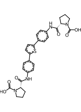 O=C(Nc1ccc(-c2ccc(-c3ccc(NC(=O)[C@@H]4CCCN4C(=O)O)cc3)s2)cc1)[C@@H]1CCCN1C(=O)O